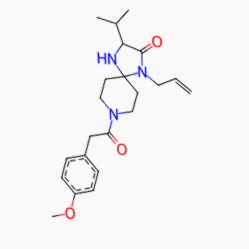 C=CCN1C(=O)C(C(C)C)NC12CCN(C(=O)Cc1ccc(OC)cc1)CC2